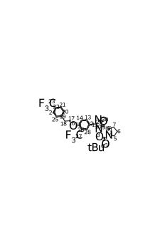 CC(C)(C)OC(=O)N1CCC[C@H]1c1nc(-c2ccc(OCCc3ccc(C(F)(F)F)cc3)c(C(F)(F)F)c2)no1